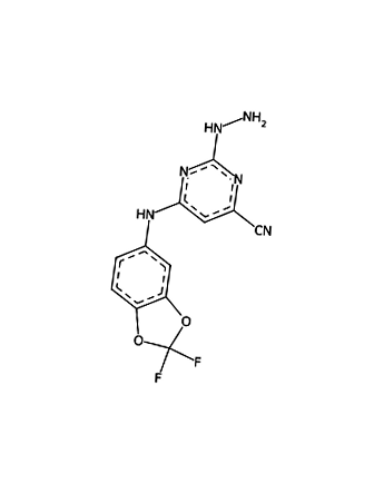 N#Cc1cc(Nc2ccc3c(c2)OC(F)(F)O3)nc(NN)n1